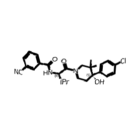 CC(C)[C@@H](NC(=O)c1cccc(C#N)c1)C(=O)N1CC[C@](O)(c2ccc(Cl)cc2)C(C)(C)C1